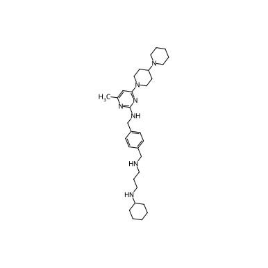 Cc1cc(N2CCC(N3CCCCC3)CC2)nc(NCc2ccc(CNCCCNC3CCCCC3)cc2)n1